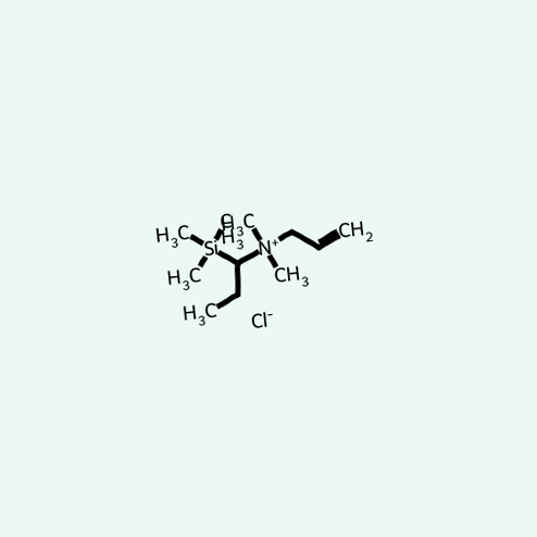 C=CC[N+](C)(C)C(CC)[Si](C)(C)C.[Cl-]